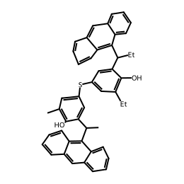 CCc1cc(Sc2cc(C)c(O)c(C(C)c3c4ccccc4cc4ccccc34)c2)cc(C(CC)c2c3ccccc3cc3ccccc23)c1O